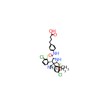 CC(C)(C)C[C@@H]1N[C@@H](C(=O)Nc2ccc(CCCC(=O)O)cc2)[C@H](c2cccc(Cl)c2F)[C@@]1(C#N)c1ccc(Cl)cc1F